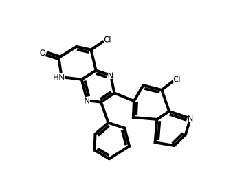 O=c1cc(Cl)c2nc(-c3cc(Cl)c4ncccc4c3)c(-c3ccccc3)nc2[nH]1